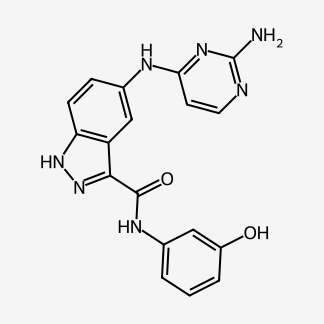 Nc1nccc(Nc2ccc3[nH]nc(C(=O)Nc4cccc(O)c4)c3c2)n1